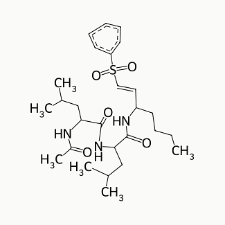 CCCCC(C=CS(=O)(=O)c1ccccc1)NC(=O)C(CC(C)C)NC(=O)C(CC(C)C)NC(C)=O